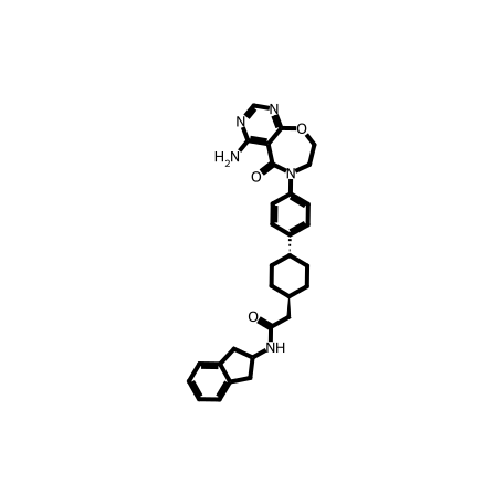 Nc1ncnc2c1C(=O)N(c1ccc([C@H]3CC[C@H](CC(=O)NC4Cc5ccccc5C4)CC3)cc1)CCO2